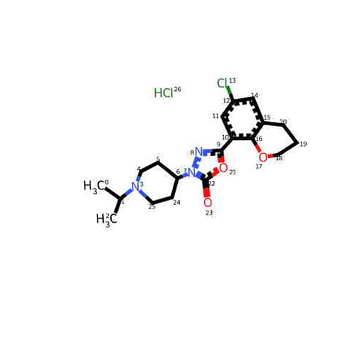 CC(C)N1CCC(n2nc(-c3cc(Cl)cc4c3OCCC4)oc2=O)CC1.Cl